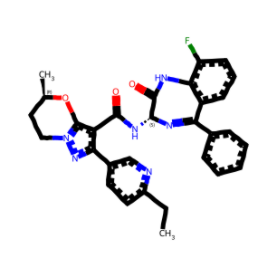 CCc1ccc(-c2nn3c(c2C(=O)N[C@H]2N=C(c4ccccc4)c4cccc(F)c4NC2=O)O[C@H](C)CC3)cn1